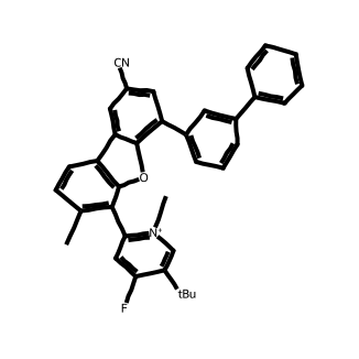 Cc1ccc2c(oc3c(-c4cccc(-c5ccccc5)c4)cc(C#N)cc32)c1-c1cc(F)c(C(C)(C)C)c[n+]1C